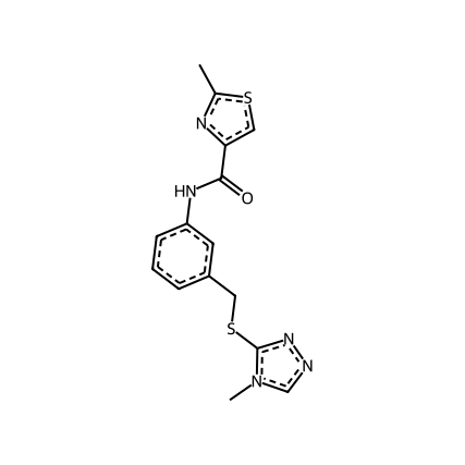 Cc1nc(C(=O)Nc2cccc(CSc3nncn3C)c2)cs1